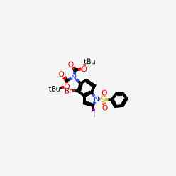 CC(C)(C)OC(=O)N(C(=O)OC(C)(C)C)c1ccc2c(cc(I)n2S(=O)(=O)c2ccccc2)c1Br